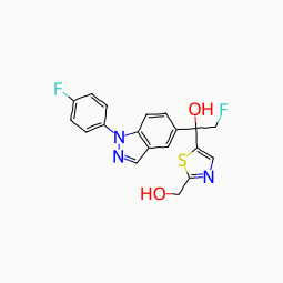 OCc1ncc(C(O)(CF)c2ccc3c(cnn3-c3ccc(F)cc3)c2)s1